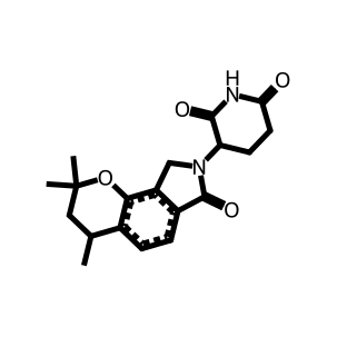 CC1CC(C)(C)Oc2c1ccc1c2CN(C2CCC(=O)NC2=O)C1=O